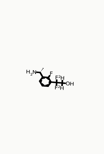 [2H]C([2H])(O)C(F)(F)c1cccc([C@@H](C)N)c1F